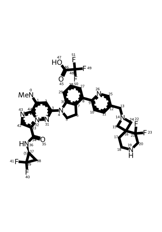 CNc1cc(N2CCc3c(-c4ccc(CN5CC6(CCNCC6(F)F)C5)cn4)cccc32)nn2c(C(=O)N[C@H]3CC3(F)F)cnc12.O=C(O)C(F)(F)F